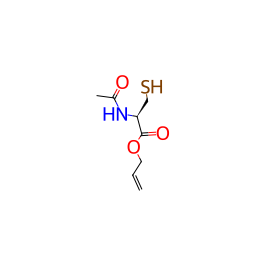 C=CCOC(=O)[C@H](CS)NC(C)=O